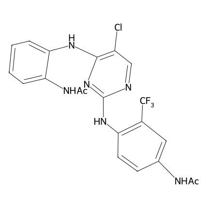 CC(=O)Nc1ccc(Nc2ncc(Cl)c(Nc3ccccc3NC(C)=O)n2)c(C(F)(F)F)c1